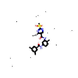 CNc1nc(S(C)(=O)=O)ncc1C(=O)Nc1cc(NC(=O)c2cc(C)cc(C)c2)ccc1C